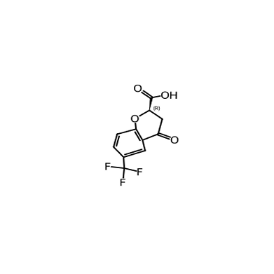 O=C1C[C@H](C(=O)O)Oc2ccc(C(F)(F)F)cc21